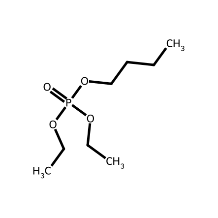 CCCCOP(=O)(OCC)OCC